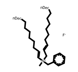 CCCCCCCCCCCCCCCCC=CC[N+](C)(C=CCCCCCCCCCCCCCCCC)Cc1ccccc1.[F-]